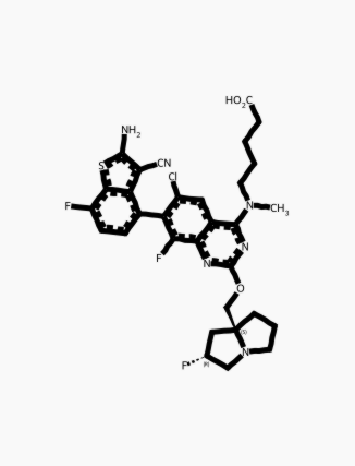 CN(CCCCC(=O)O)c1nc(OC[C@@]23CCCN2C[C@H](F)C3)nc2c(F)c(-c3ccc(F)c4sc(N)c(C#N)c34)c(Cl)cc12